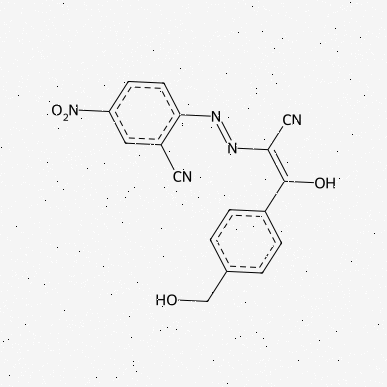 N#CC(/N=N/c1ccc([N+](=O)[O-])cc1C#N)=C(\O)c1ccc(CO)cc1